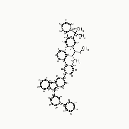 CCC(Cc1ccccc1-c1cc(-c2ccc3c(c2)c2ccccc2n3-c2cccc(-c3ccccc3)c2)ccc1C)c1ccc2c(c1)C(C)(C)c1ccccc1-2